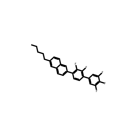 CCCCCc1ccc2cc(-c3ccc(-c4cc(F)c(F)c(F)c4)c(F)c3F)ccc2c1